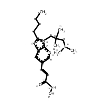 CCCCc1nc2cc(/C=C/C(=O)NO)cnc2n1CC(C)(C)CN(C)C